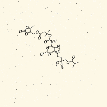 C#CC(CCn1cnc2c(NC(=O)OC(C)(C)CC(=O)OCc3oc(=O)oc3C)nc(Cl)nc21)(COC(=O)C(C)C)OC